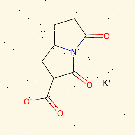 O=C([O-])C1CC2CCC(=O)N2C1=O.[K+]